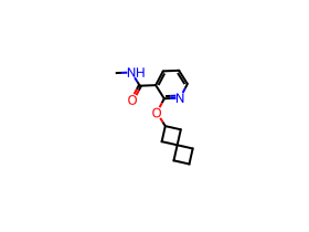 CNC(=O)c1cccnc1OC1CC2(CCC2)C1